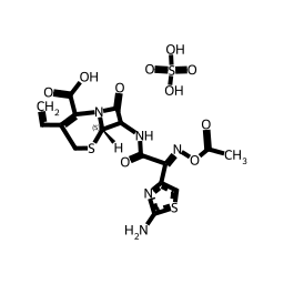 C=CC1=C(C(=O)O)N2C(=O)C(NC(=O)C(=NOC(C)=O)c3csc(N)n3)[C@@H]2SC1.O=S(=O)(O)O